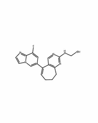 CC(C)(C)CNc1ncc2c(n1)CCCC=C2c1cc(F)c2nccn2c1